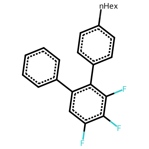 CCCCCCc1ccc(-c2c(-c3ccccc3)cc(F)c(F)c2F)cc1